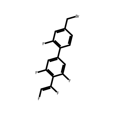 FC=C(F)c1c(F)cc(-c2ccc(CBr)cc2F)cc1F